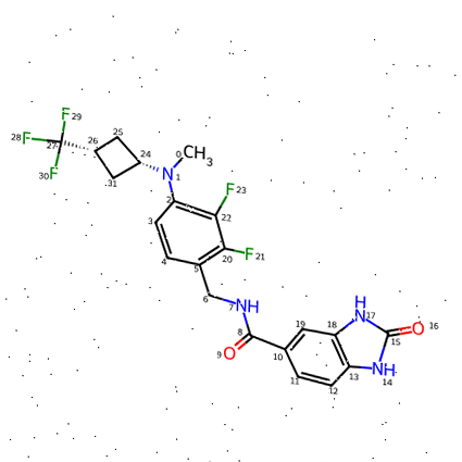 CN(c1ccc(CNC(=O)c2ccc3[nH]c(=O)[nH]c3c2)c(F)c1F)[C@H]1C[C@@H](C(F)(F)F)C1